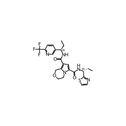 CC[C@@H](NC(=O)c1cc(C(=O)N[C@H](CC)c2nccs2)n2c1COCC2)c1ccc(C(F)(F)F)nc1